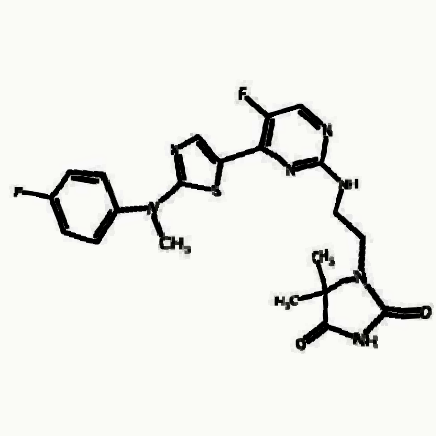 CN(c1ccc(F)cc1)c1ncc(-c2nc(NCCN3C(=O)NC(=O)C3(C)C)ncc2F)s1